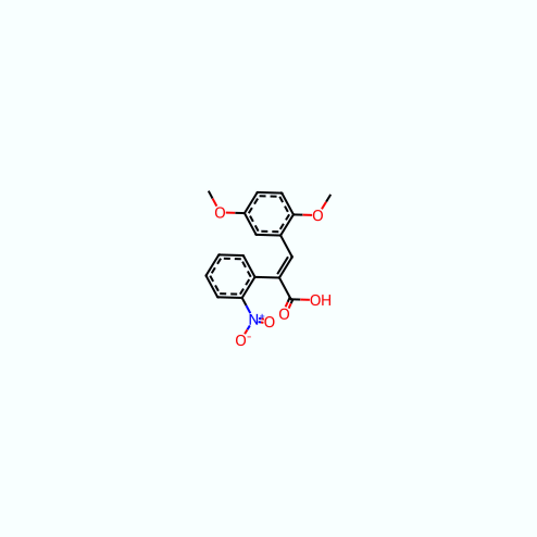 COc1ccc(OC)c(/C=C(/C(=O)O)c2ccccc2[N+](=O)[O-])c1